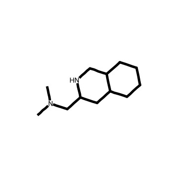 CN(C)CC1CC2CCCCC2CN1